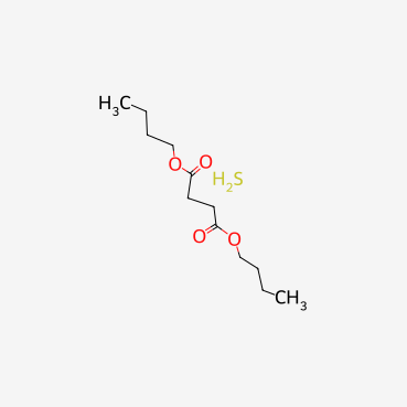 CCCCOC(=O)CCC(=O)OCCCC.S